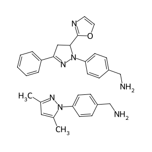 Cc1cc(C)n(-c2ccc(CN)cc2)n1.NCc1ccc(N2N=C(c3ccccc3)CC2c2ncco2)cc1